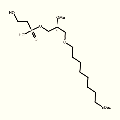 CCCCCCCCCCCCCCCCCCOC[C@H](COP(=O)(O)CCO)OC